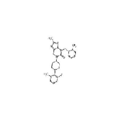 Cc1nc2c(s1)N(Cc1ccccc1C(F)(F)F)C(=O)N(C1CCN(c3c(C)cccc3F)CC1)C2